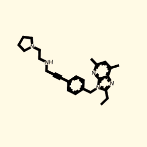 CCc1nc2c(C)cc(C)nc2n1Cc1ccc(C#CCNCCN2CCCC2)cc1